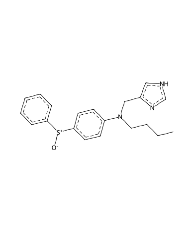 CCCCN(Cc1c[nH]cn1)c1ccc([S+]([O-])c2ccccc2)cc1